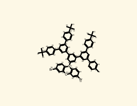 Cc1ccc(-c2cc(-c3ccc(C(C)(C)C)cc3)cc(-c3cc(-c4cc(-c5ccc(C(C)(C)C)cc5)cc(-c5ccc(C(C)(C)C)cc5)c4)cc(N4c5ccc(Br)cc5Oc5cc(Br)ccc54)c3)c2)cc1